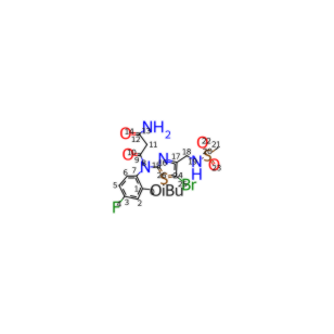 CC(C)COc1cc(F)ccc1N(C(=O)CC(N)=O)c1nc(CNS(C)(=O)=O)c(Br)s1